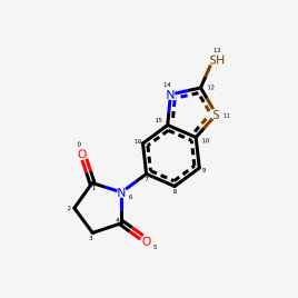 O=C1CCC(=O)N1c1ccc2sc(S)nc2c1